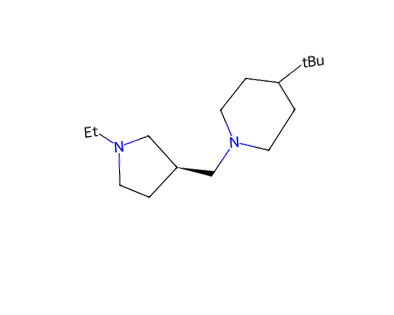 CCN1CC[C@H](CN2CCC(C(C)(C)C)CC2)C1